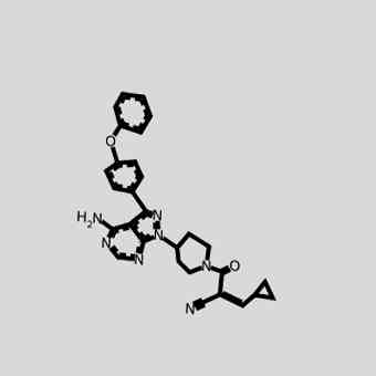 N#C/C(=C/C1CC1)C(=O)N1CCC(n2nc(-c3ccc(Oc4ccccc4)cc3)c3c(N)ncnc32)CC1